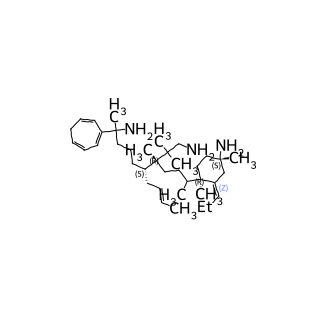 CC=CC[C@H](CCCC(C)(N)C1=CC=CCC=C1)[C@@](C)(CCC(C)[C@@]1(C)CC[C@](C)(N)C/C1=C/CC)C(C)(C)CN